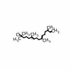 C=CC(=C)CCC=C(C)CC/C=C(\C)CCCC(C)(C)Cl